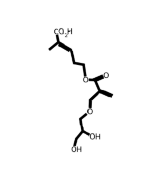 C=C(COCC(O)CO)C(=O)OCCC=C(C)C(=O)O